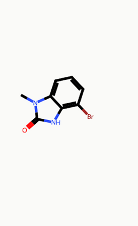 Cn1c(=O)[nH]c2c(Br)cccc21